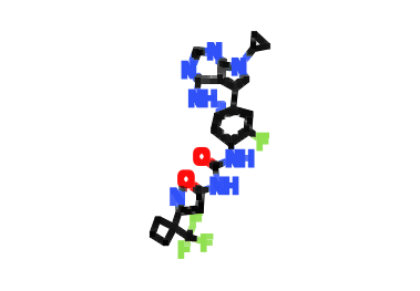 Nc1ncnc2c1c(-c1ccc(NC(=O)Nc3cc(C4(C(F)(F)F)CCC4)no3)c(F)c1)cn2C1CC1